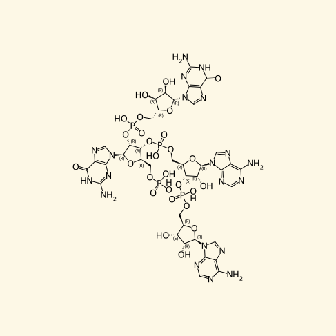 Nc1nc2c(ncn2[C@@H]2O[C@H](COP(=O)(O)O[C@@H]3[C@H](OP(=O)(O)OC[C@H]4O[C@@H](n5cnc6c(N)ncnc65)[C@H](O)[C@@H]4OP(=O)(O)OC[C@H]4O[C@@H](n5cnc6c(N)ncnc65)[C@H](O)[C@@H]4O)[C@@H](COP(=O)(O)O)O[C@H]3n3cnc4c(=O)[nH]c(N)nc43)[C@@H](O)[C@H]2O)c(=O)[nH]1